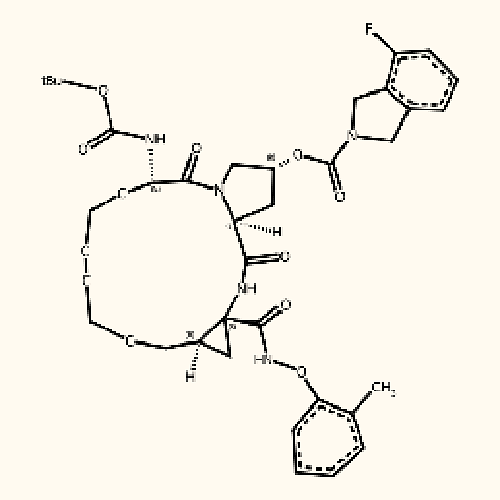 Cc1ccccc1ONC(=O)[C@@]12C[C@H]1CCCCCCC[C@H](NC(=O)OC(C)(C)C)C(=O)N1C[C@H](OC(=O)N3Cc4cccc(F)c4C3)C[C@H]1C(=O)N2